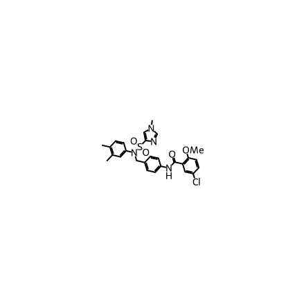 COc1ccc(Cl)cc1C(=O)Nc1ccc(CN(c2ccc(C)c(C)c2)S(=O)(=O)c2cn(C)cn2)cc1